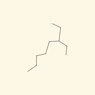 [CH2]CC(C[CH2])CCCCC